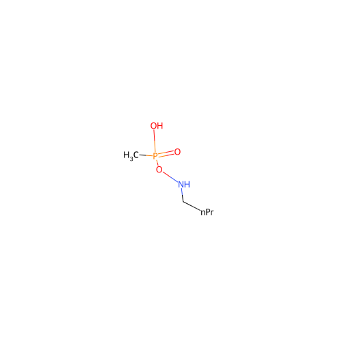 CCCCNOP(C)(=O)O